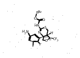 Cc1cc(N)cc([C@]23CO[C@H](C(F)(F)F)[C@H]2CSC(NC(=O)OC(C)(C)C)=N3)c1F